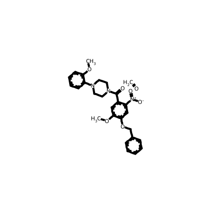 C=O.COc1cc(C(=O)N2CCN(c3ccccc3OC)CC2)c([N+](=O)[O-])cc1OCc1ccccc1